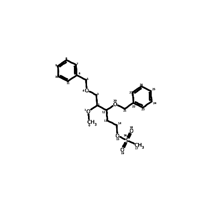 COC(COCc1ccccc1)C(CCOS(C)(=O)=O)OCc1ccccc1